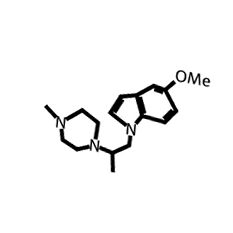 COc1ccc2c(ccn2CC(C)N2CCN(C)CC2)c1